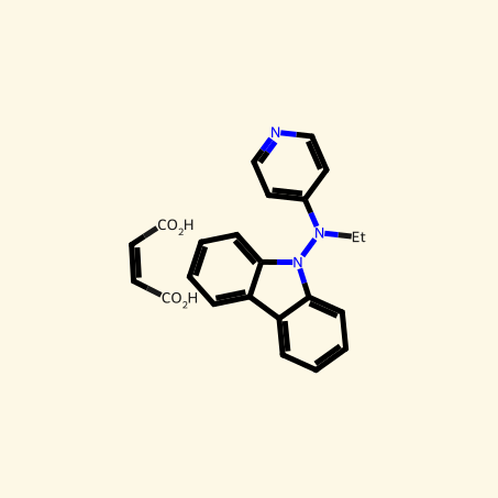 CCN(c1ccncc1)n1c2ccccc2c2ccccc21.O=C(O)/C=C\C(=O)O